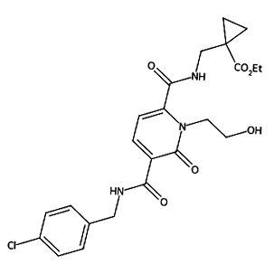 CCOC(=O)C1(CNC(=O)c2ccc(C(=O)NCc3ccc(Cl)cc3)c(=O)n2CCO)CC1